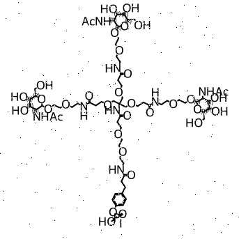 CC(=O)NC1[C@H](OCCOCCNC(=O)CCOCC(COCCC(=O)NCCOCCOC2O[C@H](CO)[C@H](O)[C@H](O)[C@H]2NC(C)=O)(COCCC(=O)NCCOCCO[C@@H]2O[C@H](CO)[C@H](O)[C@H](O)[C@H]2NC(C)=O)NC(=O)CCOCCOCCNC(=O)CCc2ccc(OP(=O)(O)I)cc2)O[C@H](CO)[C@H](O)[C@@H]1O